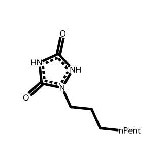 CCCCCCCCn1[nH]c(=O)[nH]c1=O